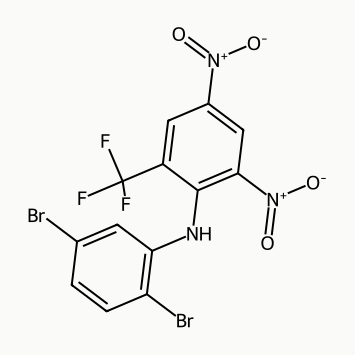 O=[N+]([O-])c1cc([N+](=O)[O-])c(Nc2cc(Br)ccc2Br)c(C(F)(F)F)c1